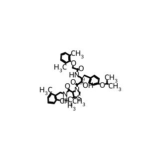 Cc1cccc(C)c1CNC(=O)C1N(C(=O)[C@@H](O)[C@H](Cc2ccc(OC(C)C)cc2)NC(=O)COc2c(C)cccc2C)CSC1(C)C